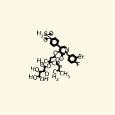 CC(C)CCOC(CC(C)(C)OC(=O)[C@H](O)[C@@H](O)C(=O)O)Oc1c(-c2ccc(S(C)(=O)=O)cc2)cnn(-c2ccc(F)c(Br)c2)c1=O